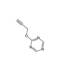 C#CCOc1ncncn1